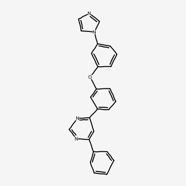 c1ccc(-c2cc(-c3cccc(Oc4cccc(-n5ccnc5)c4)c3)ncn2)cc1